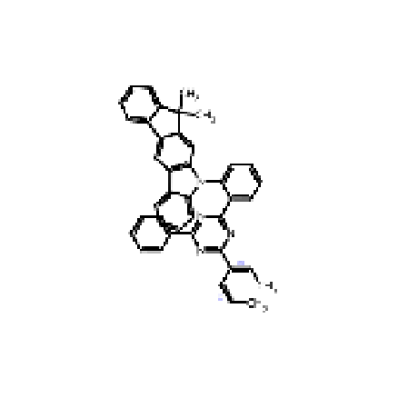 C/C=C\C(=C/C)c1nc(-c2ccccc2)nc(-c2ccccc2-n2c3ccccc3c3cc4c(cc32)C(C)(C)c2ccccc2-4)n1